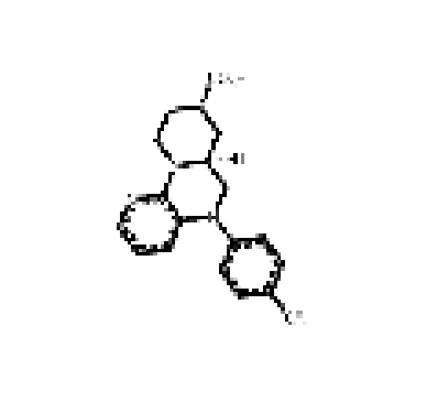 O=C(O)[C@@H]1CCN2c3ncccc3N(c3ccc(C(F)(F)F)cc3)C[C@@H]2C1